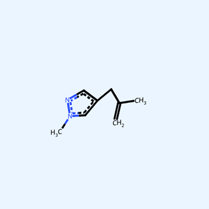 C=C(C)Cc1cnn(C)c1